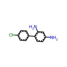 Nc1ccc(-c2ccc(Cl)cc2)c(N)c1